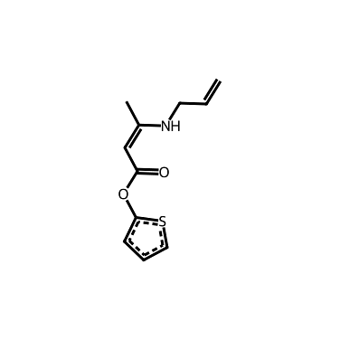 C=CCN/C(C)=C\C(=O)Oc1cccs1